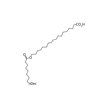 CCCCCCCCCCCCCCCCCC(=O)OCCCCCCCCCCCCCCCCCC(=O)O